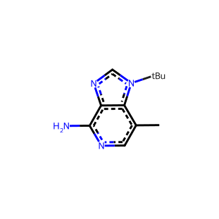 Cc1cnc(N)c2ncn(C(C)(C)C)c12